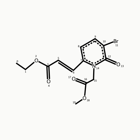 CCOC(=O)C=Cc1ccc(Br)c(=O)n1CC(=O)OC